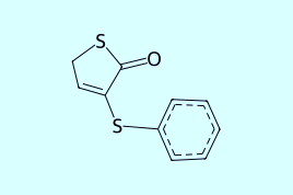 O=C1SCC=C1Sc1ccccc1